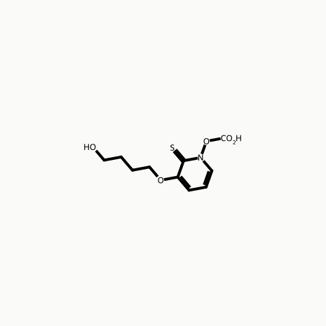 O=C(O)On1cccc(OCCCCO)c1=S